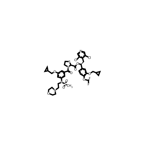 CS(=O)(=O)N(CCN1CCOCC1)c1cc(OCC2CC2)cc(C(=O)N2CCSC2C(=O)O[C@@H](Cc2c(Cl)cncc2Cl)c2ccc(OC(F)F)c(OCC3CC3)c2)c1